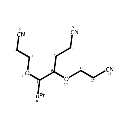 CCCC(OCCC#N)C(CCC#N)OCCC#N